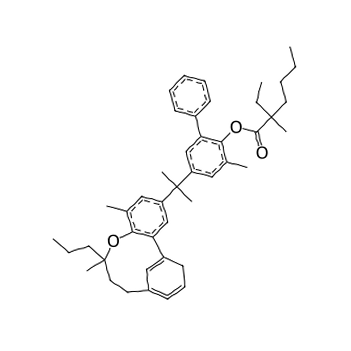 CCCCC(C)(CC)C(=O)Oc1c(C)cc(C(C)(C)c2cc(C)c3c(c2)C2=CC(=C=CC2)CCC(C)(CCC)O3)cc1-c1ccccc1